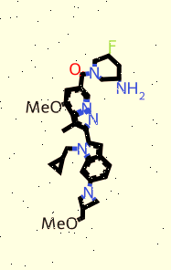 COCC1CN(c2ccc3cc(-c4nn5cc(C(=O)N6C[C@H](N)C[C@@H](F)C6)cc(OC)c5c4C)n(CC4CC4)c3c2)C1